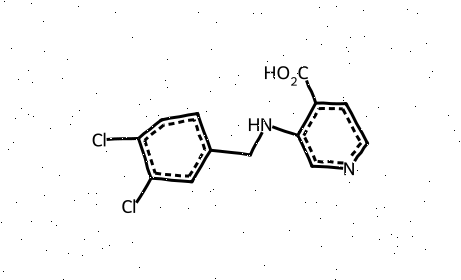 O=C(O)c1ccncc1NCc1ccc(Cl)c(Cl)c1